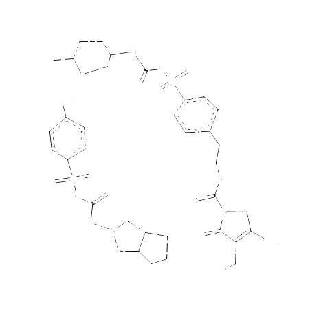 CCC1=C(C)CN(C(=O)NCCc2ccc(S(=O)(=O)NC(=O)NC3CCC(C)CC3)cc2)C1=O.Cc1ccc(S(=O)(=O)NC(=O)NN2CC3CCCC3C2)cc1